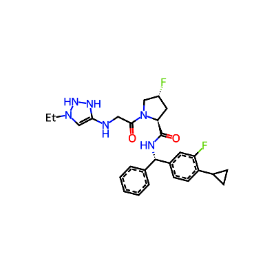 CCN1C=C(NCC(=O)N2C[C@H](F)C[C@H]2C(=O)N[C@@H](c2ccccc2)c2ccc(C3CC3)c(F)c2)NN1